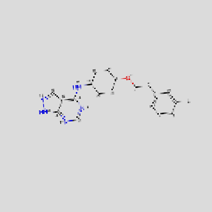 Cc1cccc(CCOC2CCC(Nc3ncnc4[nH]ncc34)CC2)c1